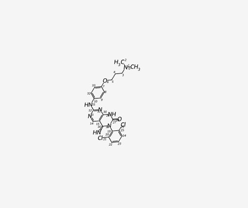 CN(C)CCCOc1ccc(Nc2ncc3c(=N)n(-c4c(Cl)cccc4Cl)c(=O)[nH]c3n2)cc1